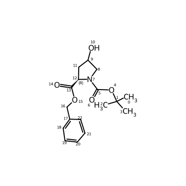 CC(C)(C)OC(=O)N1CC(O)C[C@@H]1C(=O)OCc1ccccc1